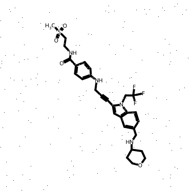 CS(=O)(=O)CCNC(=O)c1ccc(NCC#Cc2cc3cc(CNC4CCOCC4)ccc3n2CC(F)(F)F)cc1